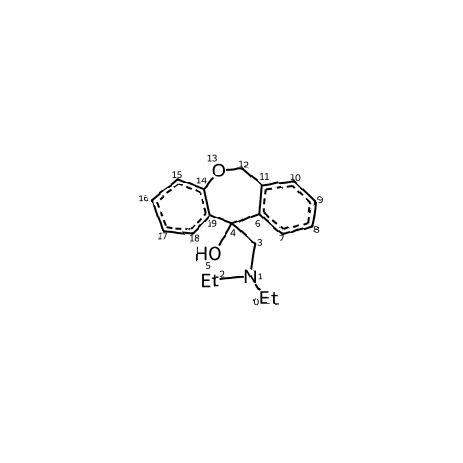 CCN(CC)CC1(O)c2ccccc2COc2ccccc21